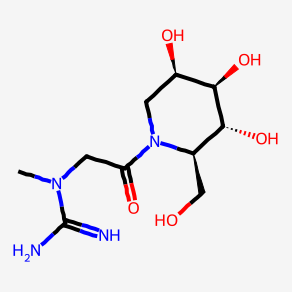 CN(CC(=O)N1C[C@@H](O)[C@@H](O)[C@H](O)[C@H]1CO)C(=N)N